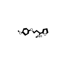 CNC(CCOc1ccc(OC)cc1)c1ccco1